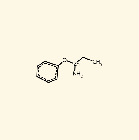 C[CH2][Zn]([NH2])[O]c1ccccc1